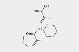 C1CCCCC1.C=C(C)C(=O)O.C=C(C)C(=O)O.COC